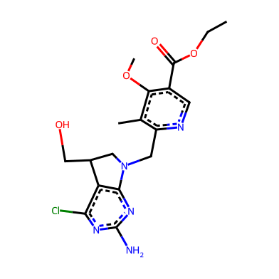 CCOC(=O)c1cnc(CN2CC(CO)c3c(Cl)nc(N)nc32)c(C)c1OC